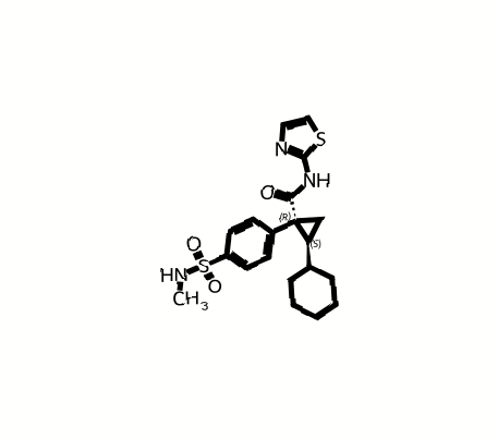 CNS(=O)(=O)c1ccc([C@@]2(C(=O)Nc3nccs3)C[C@H]2C2CCCCC2)cc1